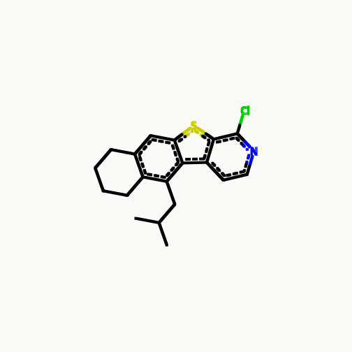 CC(C)Cc1c2c(cc3sc4c(Cl)nccc4c13)CCCC2